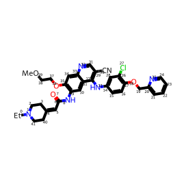 CCN1CCC(=CC(=O)Nc2cc3c(Nc4ccc(OCc5ccccn5)c(Cl)c4)c(C#N)cnc3cc2OCCOC)CC1